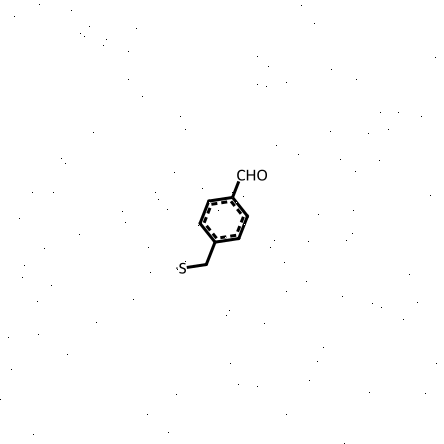 O=Cc1ccc(C[S])cc1